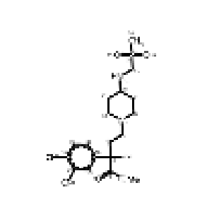 COC(=O)C(F)(CCN1CCC(NCS(C)(=O)=O)CC1)c1ccc(Cl)c(Cl)c1